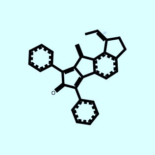 C=C1C2=C(c3ccccc3)C(=O)C(c3ccccc3)=C2c2ccc3c(c21)/C(=C\C)CC3